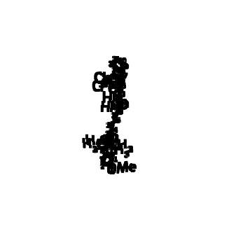 COc1ccc(CC(C)(C)[Si](C)(C)OCCCCCCNC(=O)NCC(COCc2ccccc2)OC(=O)C(Cl)Cl)cc1